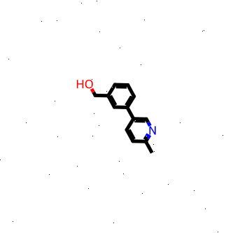 Cc1ccc(-c2cccc(CO)c2)cn1